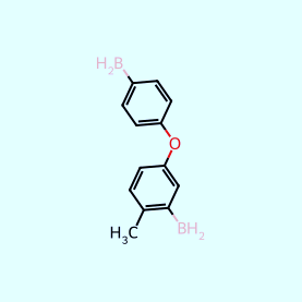 Bc1ccc(Oc2ccc(C)c(B)c2)cc1